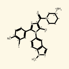 Cn1ncc2cc(-n3c(-c4ccc(C#N)c(F)c4)nc(C(=O)N4CCC[C@@H](N)C4)c3Cl)ccc21